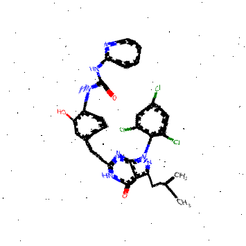 CC(C)Cc1nn(-c2c(Cl)cc(Cl)cc2Cl)c2nc(Cc3ccc(NC(=O)Nc4ccccn4)c(O)c3)[nH]c(=O)c12